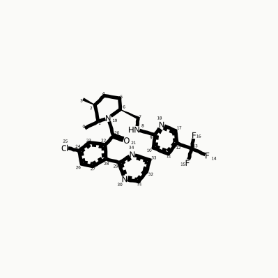 CC1[C@@H](C)CC[C@@H](CNc2ccc(C(F)(F)F)cn2)N1C(=O)c1cc(Cl)ccc1-c1ncccn1